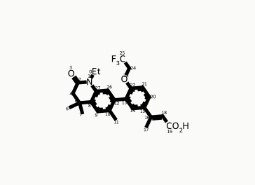 CCN1C(=O)CC(C)(C)c2cc(C)c(-c3cc(C(C)=CC(=O)O)ccc3OCC(F)(F)F)cc21